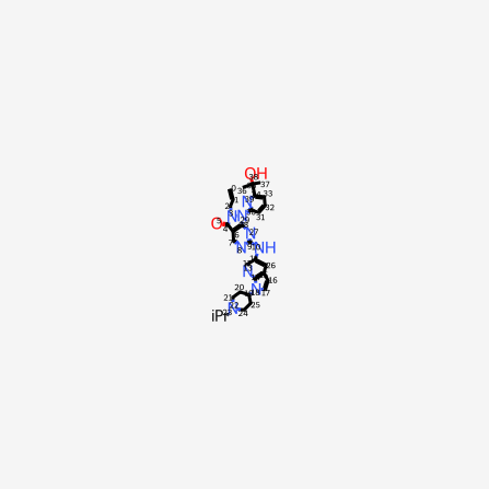 C=CCn1c(=O)c2cnc(Nc3cnc4c(ccn4C4CCN(C(C)C)CC4)c3)nc2n1-c1cccc(C(C)(C)O)n1